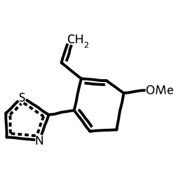 C=CC1=CC(OC)CC=C1c1nccs1